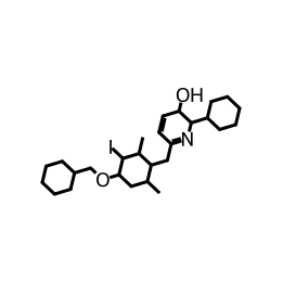 CC1CC(OCC2CCCCC2)C(I)C(C)C1CC1=NC(C2CCCCC2)C(O)C=C1